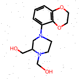 OCC1CN(c2cccc3c2OCCO3)CCN1CO